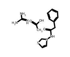 CC(=O)O.N=C(N)N.O=C(Cc1ccccc1)NN1C=CSC1